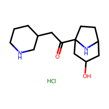 Cl.O=C(CC1CCCNC1)C12CCC(CC(O)C1)N2